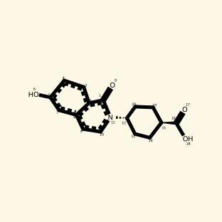 O=c1c2ccc(O)cc2ccn1[C@H]1CC[C@H](C(=O)O)CC1